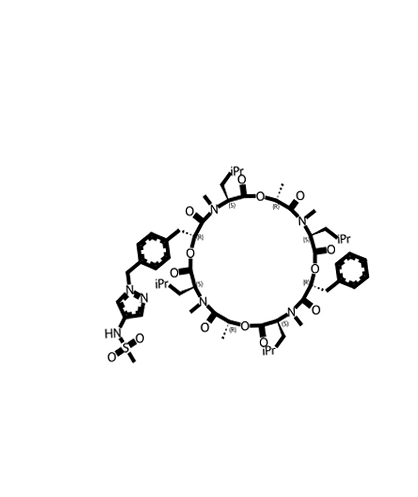 CC(C)C[C@H]1C(=O)O[C@H](Cc2ccc(Cn3cc(NS(C)(=O)=O)cn3)cc2)C(=O)N(C)[C@@H](CC(C)C)C(=O)O[C@H](C)C(=O)N(C)[C@@H](CC(C)C)C(=O)O[C@H](Cc2ccccc2)C(=O)N(C)[C@@H](CC(C)C)C(=O)O[C@H](C)C(=O)N1C